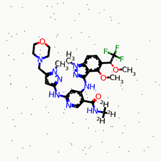 [2H]C([2H])([2H])NC(=O)c1cnc(Nc2cc(CN3CCOCC3)n(C)n2)cc1Nc1nn(C)c2ccc([C@H](OC)C(F)(F)F)c(OC)c12